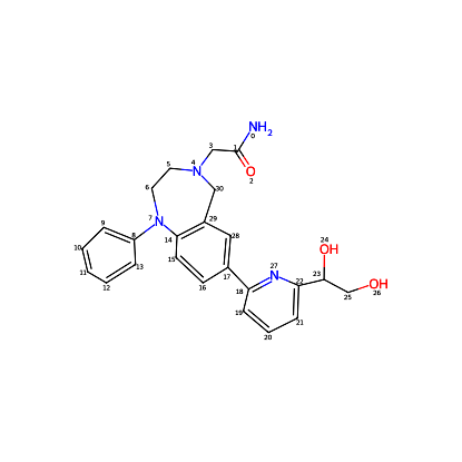 NC(=O)CN1CCN(c2ccccc2)c2ccc(-c3cccc(C(O)CO)n3)cc2C1